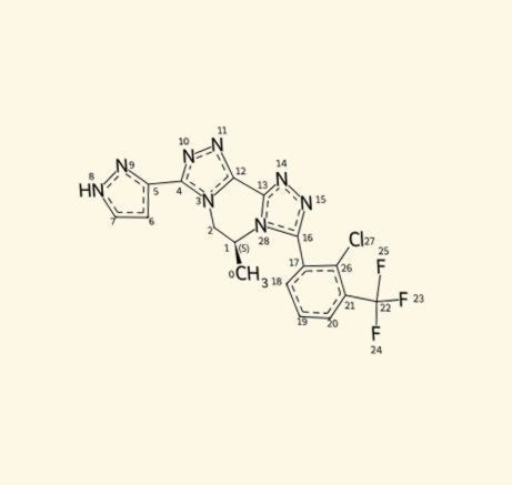 C[C@H]1Cn2c(-c3cc[nH]n3)nnc2-c2nnc(-c3cccc(C(F)(F)F)c3Cl)n21